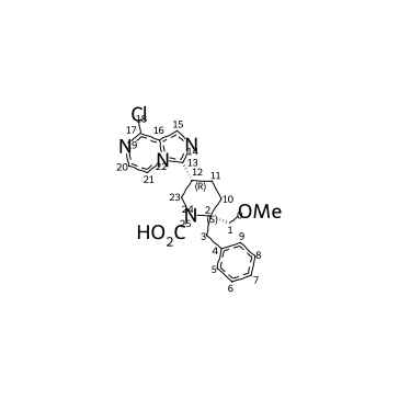 COC[C@@]1(Cc2ccccc2)CC[C@@H](c2ncc3c(Cl)nccn23)CN1C(=O)O